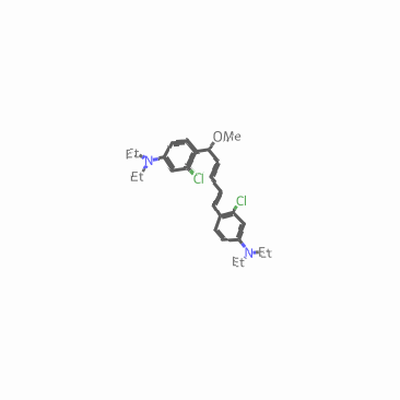 CCN(CC)c1ccc(C=CC=CC(OC)c2ccc(N(CC)CC)cc2Cl)c(Cl)c1